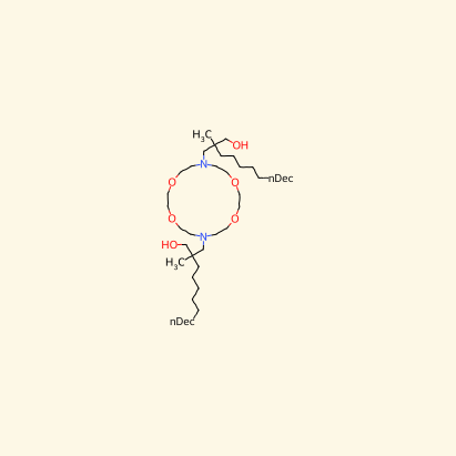 CCCCCCCCCCCCCCCC(C)(CO)CN1CCOCCOCCN(CC(C)(CO)CCCCCCCCCCCCCCC)CCOCCOCC1